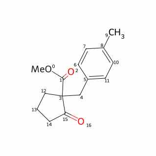 COC(=O)C1(Cc2ccc(C)cc2)CCCC1=O